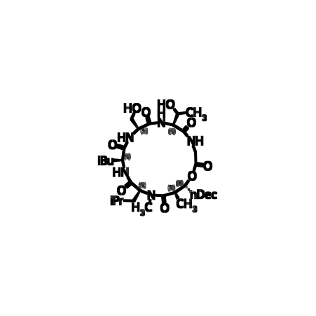 CCCCCCCCCC[C@H]1OC(=O)CNC(=O)[C@H](C(C)O)NC(=O)[C@H](CO)NC(=O)[C@H](C(C)CC)NC(=O)[C@H](CC(C)C)N(C)C(=O)[C@@H]1C